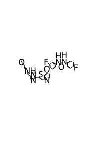 COCCNCc1cnc(-c2cc3nccc(Oc4ccc(NC(=O)Nc5ccc(F)cc5)cc4F)c3s2)n1C